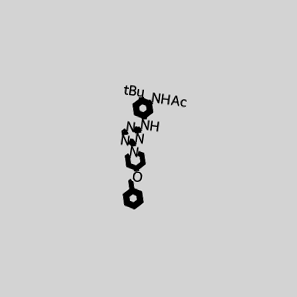 CC(=O)Nc1cc(Nc2ncnc(N3CCC(OCc4ccccc4)CC3)n2)ccc1C(C)(C)C